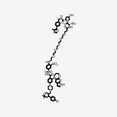 Cc1ncsc1-c1ccc([C@H](C)NC(=O)[C@@H]2C[C@@H](O)CN2C(=O)[C@@H](NC(=O)CCOCCOCCOCCOCCOCCNc2ccc(S(=O)(=O)NC(=O)c3ccc(N4CCN(CC5=C(c6ccc(Cl)cc6)CC(C)(C)OC5)CC4)cc3N3CCCOc4nc5[nH]ccc5cc43)cc2[N+](=O)[O-])C(C)(C)C)cc1